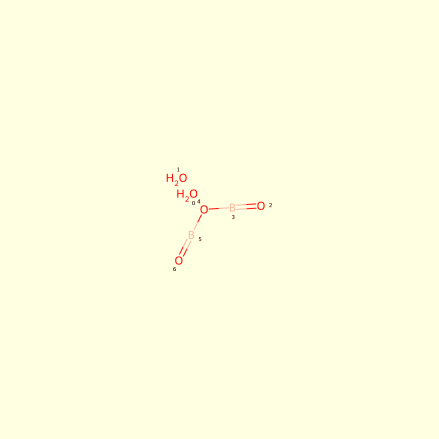 O.O.O=BOB=O